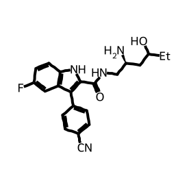 CCC(O)C[C@H](N)CNC(=O)c1[nH]c2ccc(F)cc2c1-c1ccc(C#N)cc1